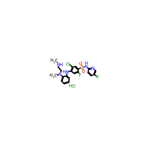 CNCCN(C)c1ccccc1Nc1cc(F)c(S(=O)(=O)Nc2ccc(F)cn2)cc1Cl.Cl